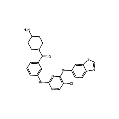 NC1CCN(C(=O)c2cccc(Nc3ncc(Cl)c(Nc4ccc5ncsc5c4)n3)c2)CC1